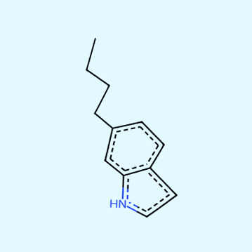 CCCCc1ccc2cc[nH]c2c1